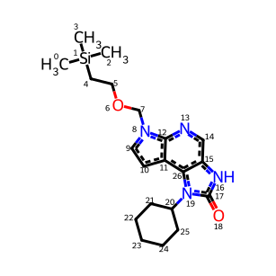 C[Si](C)(C)CCOCn1ccc2c1ncc1[nH]c(=O)n(C3CCCCC3)c12